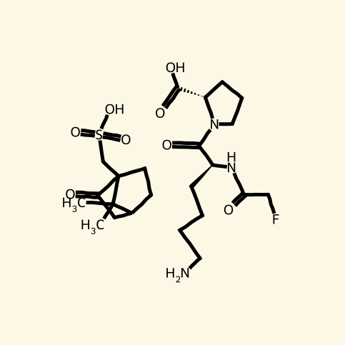 CC1(C)C2CCC1(CS(=O)(=O)O)C(=O)C2.NCCCC[C@H](NC(=O)CF)C(=O)N1CCC[C@H]1C(=O)O